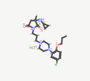 CCCOc1ccc(F)cc1N1CCN(CCCN2C(=O)CC(C)(NC3CC3)C2=O)CC1.Cl